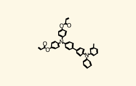 C=CC(=O)Oc1ccc(N(c2ccc(OC(=O)C=C)cc2)c2ccc(-c3ccc(N(c4ccccc4)c4cccc(C)c4)cc3)cc2)cc1